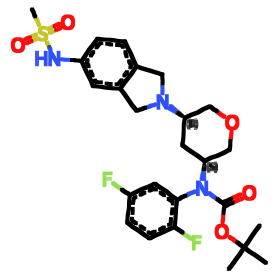 CC(C)(C)OC(=O)N(c1cc(F)ccc1F)[C@@H]1COC[C@H](N2Cc3ccc(NS(C)(=O)=O)cc3C2)C1